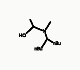 CCCCC(CCCC)N(C)C(C)O